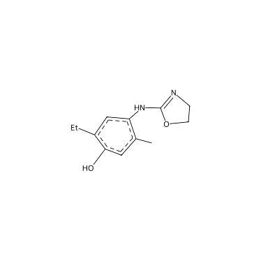 CCc1cc(NC2=NCCO2)c(C)cc1O